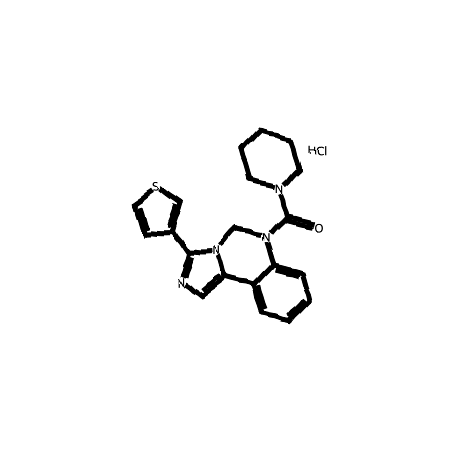 Cl.O=C(N1CCCCC1)N1Cn2c(cnc2-c2ccsc2)-c2ccccc21